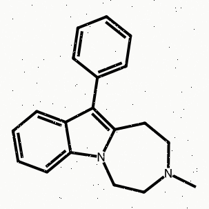 CN1CCc2c(-c3ccccc3)c3ccccc3n2CC1